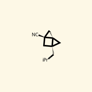 CC(C)C[C@]12C[C@]3(C#N)C[C@@]31C2